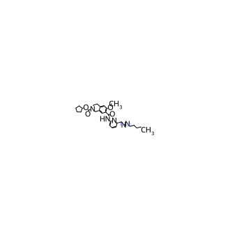 CCCC/C=N/N=C/c1cccc(NC(=O)c2cc3c(cc2OC)CCN(C(=O)OC2CCCC2)C3)n1